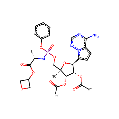 CC(C)C(=O)O[C@H]1[C@H](c2ccc3c(N)ncnn23)O[C@](C#N)(COP(=O)(N[C@@H](C)C(=O)OC2COC2)Oc2ccccc2)[C@H]1OC(=O)C(C)C